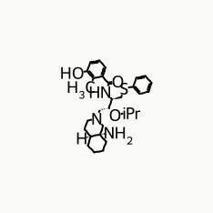 Cc1c(O)cccc1C(=O)N[C@@H](CSc1ccccc1)[C@@H](CN1CC[C@@H]2CCCC[C@]2(N)C1)OC(C)C